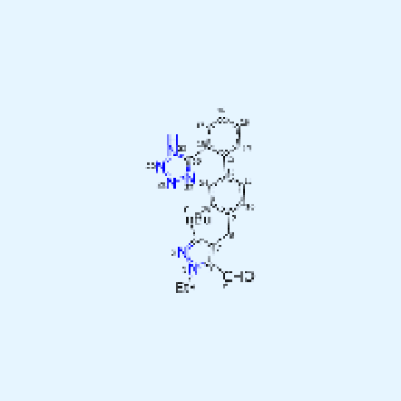 CCCCc1nn(CC)c(C=O)c1Cc1ccc(-c2ccccc2-c2nnn[nH]2)cc1